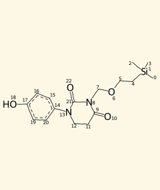 C[Si](C)(C)CCOCN1C(=O)CCN(c2ccc(O)cc2)C1=O